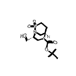 CC(C)(C)OC(=O)N1C[C@H](CO)N2C[C@H]1CCS2(=O)=O